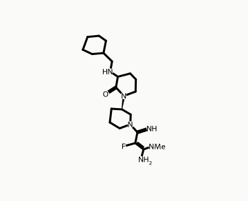 CN/C(N)=C(/F)C(=N)N1CCC[C@@H](N2CCCC(NCC3CCCCC3)C2=O)C1